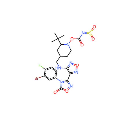 CC(C)(C)C1CC(CNc2nonc2-c2noc(=O)n2-c2ccc(F)c(Br)c2)CCN1OC(=O)N=S(=O)=O